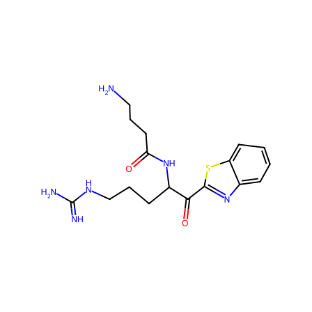 N=C(N)NCCCC(NC(=O)CCCN)C(=O)c1nc2ccccc2s1